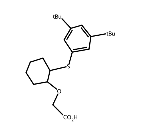 CC(C)(C)c1cc(SC2CCCCC2OCC(=O)O)cc(C(C)(C)C)c1